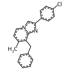 Cc1ccn2cc(-c3ccc(Cl)cc3)nc2c1Cc1ccccc1